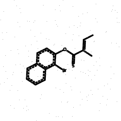 CC=C(C)C(=S)Oc1ccc2ccccc2c1Br